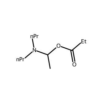 CCCN(CCC)C(C)OC(=O)CC